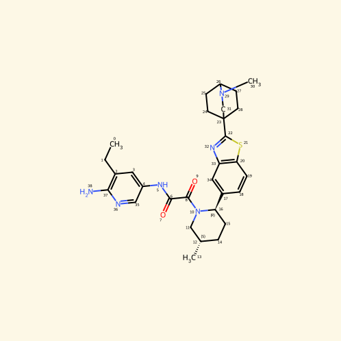 CCc1cc(NC(=O)C(=O)N2C[C@@H](C)CC[C@@H]2c2ccc3sc(C45CCC(CC4)N(C)C5)nc3c2)cnc1N